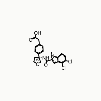 Cn1c(C(=O)N[C@@]2(c3ccc(CC(=O)O)cc3)CCOC2)cc2c(Cl)c(Cl)ccc21